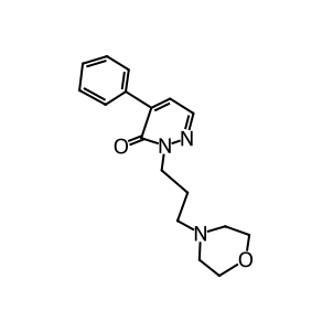 O=c1c(-c2ccccc2)ccnn1CCCN1CCOCC1